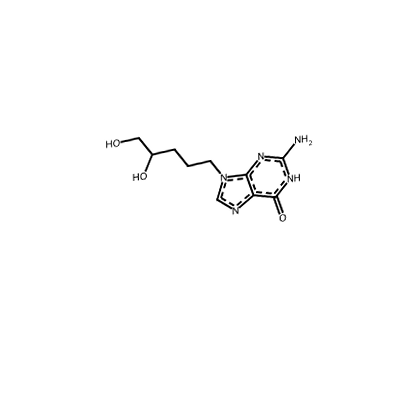 Nc1nc2c(ncn2CCCC(O)CO)c(=O)[nH]1